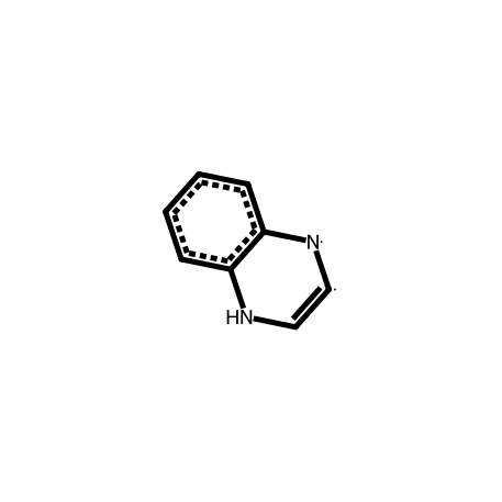 [C]1=CNc2ccccc2[N]1